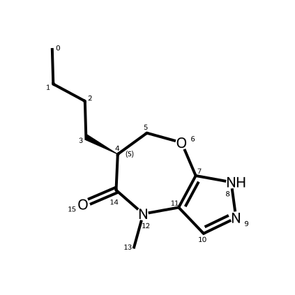 CCCC[C@H]1COc2[nH]ncc2N(C)C1=O